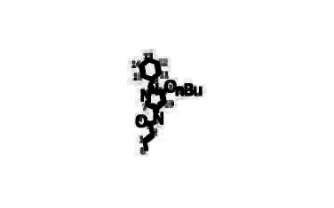 CC=CC(=O)N=c1cnn(C2C=CCC=C2)c(OCCCC)c1